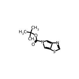 CC(C)(C)OC(=O)n1cc2ncsc2c1